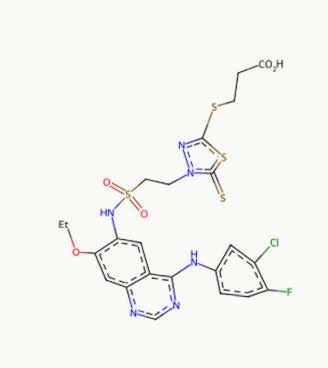 CCOc1cc2ncnc(Nc3ccc(F)c(Cl)c3)c2cc1NS(=O)(=O)CCn1nc(SCCC(=O)O)sc1=S